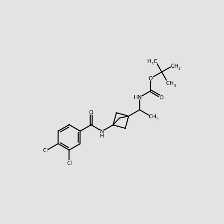 CC(NC(=O)OC(C)(C)C)C12CC(NC(=O)c3ccc(Cl)c(Cl)c3)(C1)C2